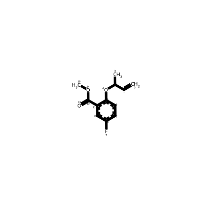 C=CC(C)Oc1ccc(F)cc1C(=O)OC